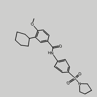 COc1ccc(C(=O)Nc2ccc(S(=O)(=O)N3CCCC3)cc2)cc1C1CCCCC1